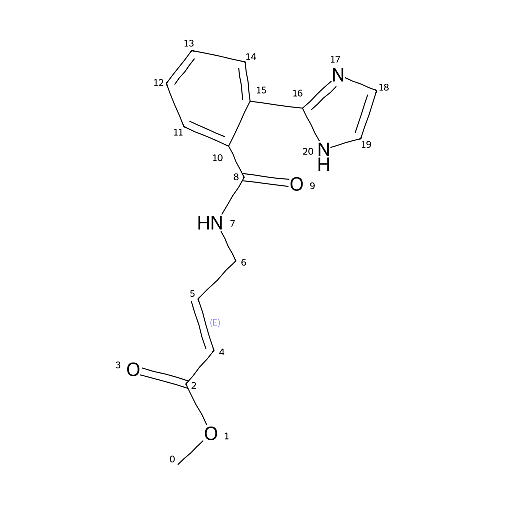 COC(=O)/C=C/CNC(=O)c1ccccc1-c1ncc[nH]1